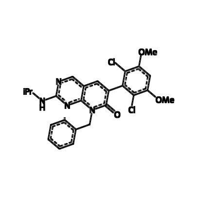 COc1cc(OC)c(Cl)c(-c2cc3cnc(NC(C)C)nc3n(Cc3[c]cccc3)c2=O)c1Cl